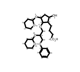 O=C(O)CCCC1C(O)CC(OC2CCCCO2)C1OCC(COc1ccccc1)OC1CCCCO1